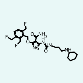 NC(=O)c1c(OCc2c(CF)ccc(CF)c2CF)nsc1NC(=O)NCCCNC1CCCCC1